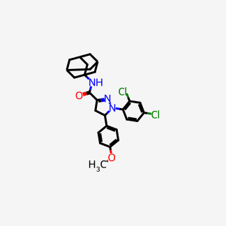 COc1ccc(C2CC(C(=O)NC34CC5CC(CC(C5)C3)C4)=NN2c2ccc(Cl)cc2Cl)cc1